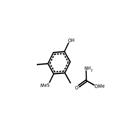 COC(N)=O.CSc1c(C)cc(O)cc1C